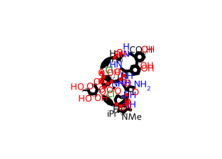 CN[C@H](CC(C)C)C(C)N[C@H]1C(=O)N[C@@H](CC(N)=O)C(=O)N[C@H]2C(=O)N[C@H]3C(=O)N[C@H](C(=O)N[C@H](C(=O)O)c4cc(O)cc(O)c4-c4cc3ccc4O)[C@H](O)c3ccc(c(Cl)c3)Oc3cc2cc(c3O[C@@H]2O[C@H](CO)[C@@H](O)[C@H](O)[C@H]2O[C@H]2C[C@](C)(NC(=O)OC3/C=C/CCCCC3)[C@H](O)[C@H](C)O2)Oc2ccc(cc2Cl)[C@H]1O